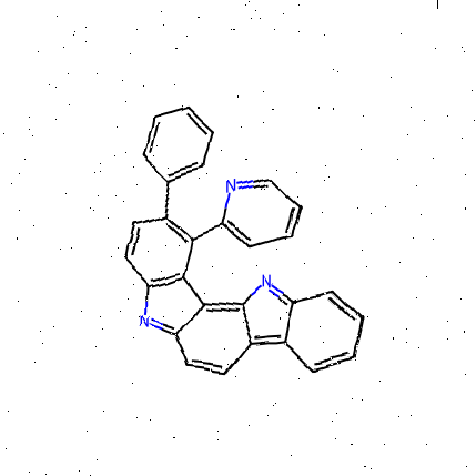 c1ccc(-c2ccc3c(c2-c2ccccn2)-c2c4c(ccc2=N3)=c2ccccc2=N4)cc1